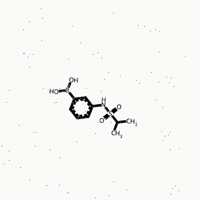 CC(C)S(=O)(=O)Nc1cccc(B(O)O)c1